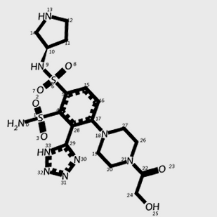 NS(=O)(=O)c1c(S(=O)(=O)N[C@@H]2CCNC2)ccc(N2CCN(C(=O)CO)CC2)c1-c1nnn[nH]1